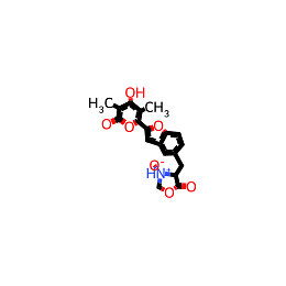 Cc1c(-c2cc3cc(CC4C(=O)OC[NH+]4[O-])ccc3o2)oc(=O)c(C)c1O